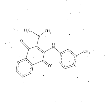 Cc1cccc(NC2=C(N(C)C)C(=O)c3ccccc3C2=O)c1